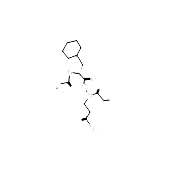 CC(C)(C)OC(=O)N[C@@H](CC1CCCCC1)C(=O)NN(CCC(N)=O)C(=O)CF